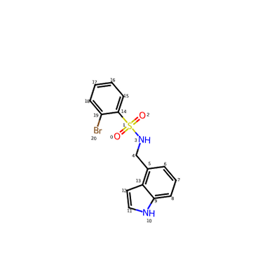 O=S(=O)(NCc1cccc2[nH]ccc12)c1ccccc1Br